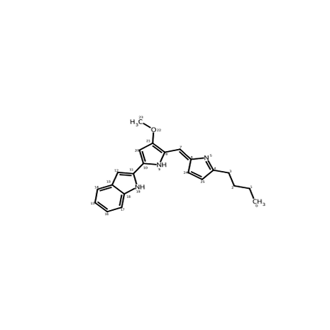 CCCCC1=NC(=Cc2[nH]c(-c3cc4ccccc4[nH]3)cc2OC)C=C1